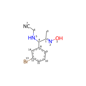 CC(=NO)C(NCC#N)c1cccc(Br)c1